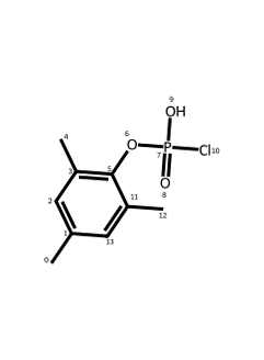 Cc1cc(C)c(OP(=O)(O)Cl)c(C)c1